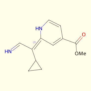 COC(=O)C1=C/C(=C(/C=N)C2CC2)NC=C1